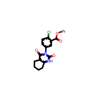 CC(C)OC(=O)c1cc(-n2c(=O)[nH]c3c(c2=O)CCCC3)ccc1Cl